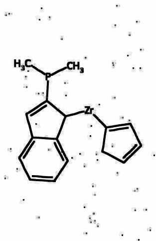 CP(C)C1=Cc2ccccc2[CH]1[Zr][C]1=CC=CC1